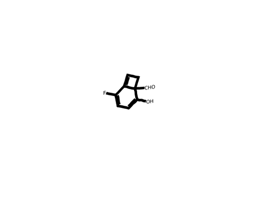 O=CC12CC=C1C(F)=CC=C2O